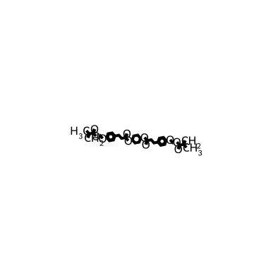 C=C(C)C(=O)OCOc1ccc(CCC(=O)OC2CCC(OC(=O)CCc3ccc(OCOC(=O)C(=C)C)cc3)CC2)cc1